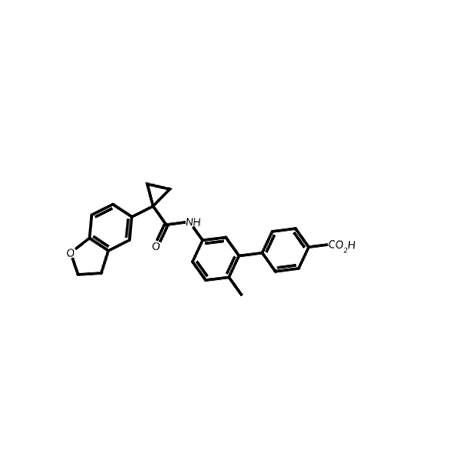 Cc1ccc(NC(=O)C2(c3ccc4c(c3)CCO4)CC2)cc1-c1ccc(C(=O)O)cc1